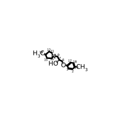 Cc1ccc(OC[C@@H](O)CN2CCC(C)CC2)cc1